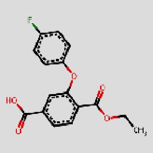 CCOC(=O)c1ccc(C(=O)O)cc1Oc1ccc(F)cc1